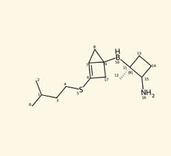 CC(C)CCSC1=C2CC2(B[C@@]2(C)CCC2N)C1